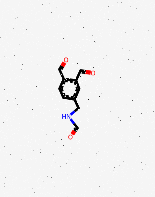 O=CNCc1ccc(C=O)c(C=O)c1